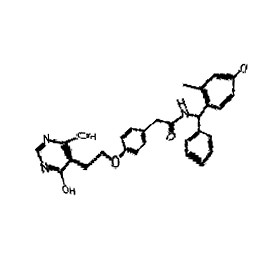 Cc1cc(Cl)ccc1C(NC(=O)Cc1ccc(OCCc2c(O)ncnc2O)cc1)c1ccccc1